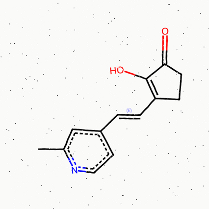 Cc1cc(/C=C/C2=C(O)C(=O)CC2)ccn1